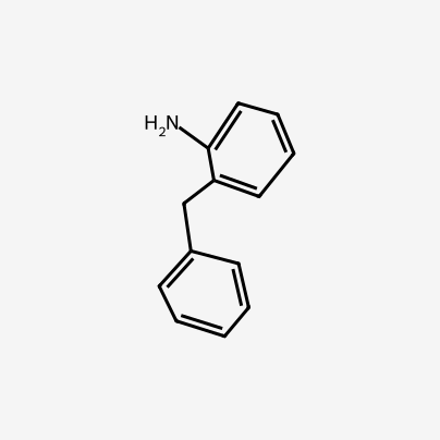 Nc1ccccc1Cc1ccccc1